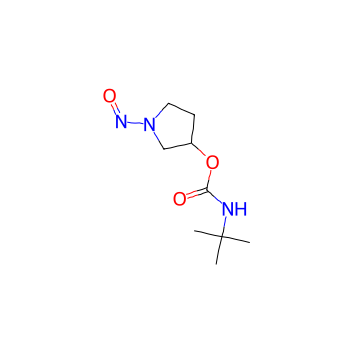 CC(C)(C)NC(=O)OC1CCN(N=O)C1